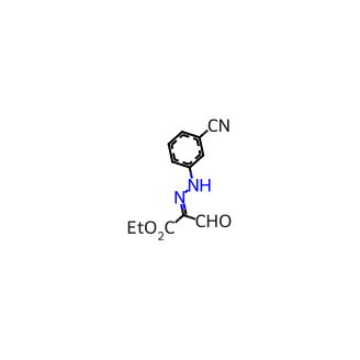 CCOC(=O)/C(C=O)=N/Nc1cccc(C#N)c1